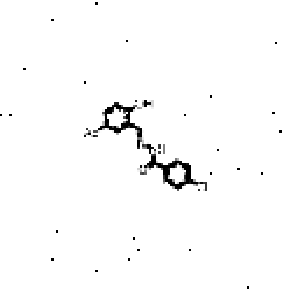 CC(=O)c1ccc(O)c(C=NNC(=O)c2ccc(Cl)cc2)c1